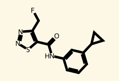 O=C(Nc1cccc(C2CC2)c1)c1snnc1CF